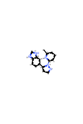 Cc1cccc(-n2nccc2-c2ccc3nc[nH]c3c2)n1